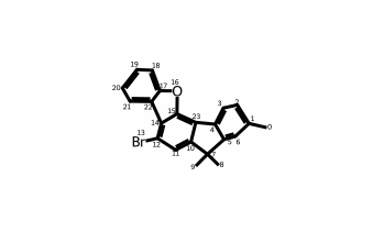 Cc1ccc2c(c1)C(C)(C)c1cc(Br)c3c(oc4ccccc43)c1-2